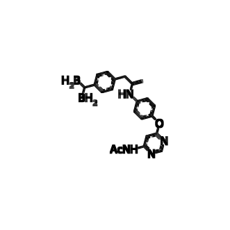 BC(B)c1ccc(CC(=C)Nc2ccc(Oc3cc(NC(C)=O)ncn3)cc2)cc1